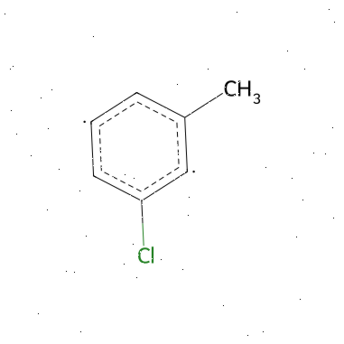 Cc1[c]c(Cl)c[c]c1